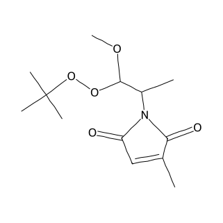 COC(OOC(C)(C)C)C(C)N1C(=O)C=C(C)C1=O